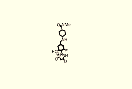 CNC(=O)[C@H]1CC[C@H](NCc2cc(O)c(N3NC(=O)CS3(=O)=O)c(F)c2)CC1